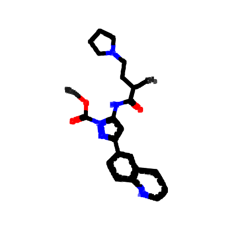 CC(CCN1CCCC1)C(=O)Nc1cc(-c2ccc3ncccc3c2)nn1C(=O)OC(C)(C)C